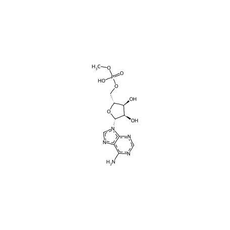 COP(=O)(O)OC[C@H]1O[C@@H](n2cnc3c(N)ncnc32)[C@H](O)[C@@H]1O